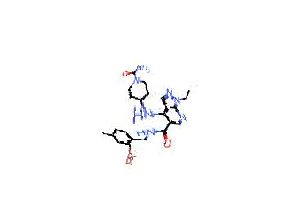 CCn1ncc2c(NC3CCN(C(N)=O)CC3)c(C(=O)NCc3ccc(C)cc3Br)cnc21